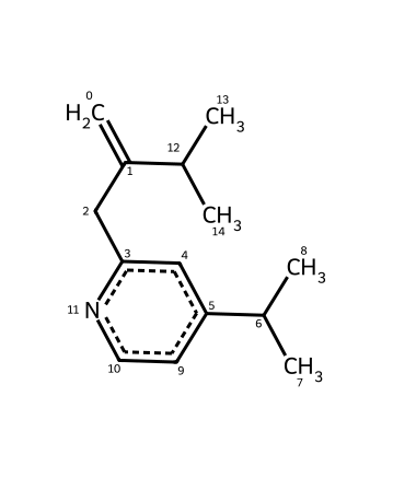 C=C(Cc1cc(C(C)C)ccn1)C(C)C